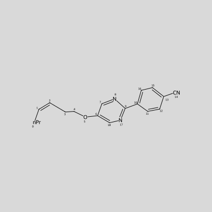 CCC/C=C\CCOc1cnc(-c2ccc(C#N)cc2)nc1